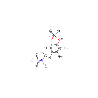 [2H]c1c([2H])c2c(c([2H])c1CC(C)N([2H])C([2H])([2H])[2H])OC([2H])([2H])O2